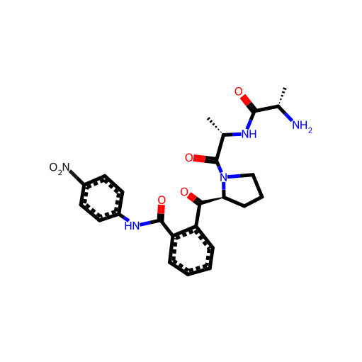 C[C@H](N)C(=O)N[C@@H](C)C(=O)N1CCC[C@H]1C(=O)c1ccccc1C(=O)Nc1ccc([N+](=O)[O-])cc1